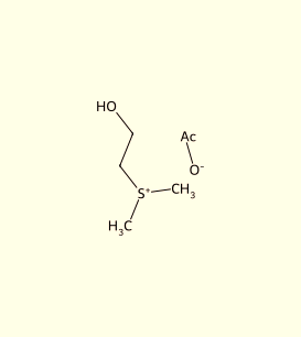 CC(=O)[O-].C[S+](C)CCO